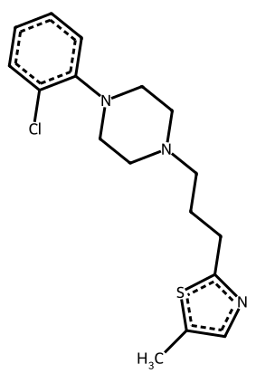 Cc1cnc(CCCN2CCN(c3ccccc3Cl)CC2)s1